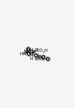 CC(=O)O.COc1cc([C@@H](Nc2ccc(C(=N)N)cc2)C(=O)NCc2ccccc2)ccc1OCc1ccc(-c2ccccc2)cc1